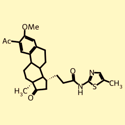 COc1cc2c(cc1C(C)=O)C1CC[C@]3(C)C(=O)C[C@@H](CCC(=O)Nc4ncc(C)s4)C3C1CC2